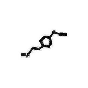 CCCCCCOc1ccc(C=CC(=O)O)cc1